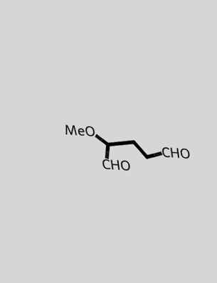 COC(C=O)CCC=O